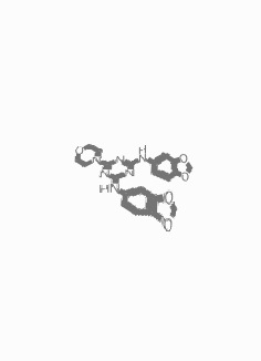 c1cc2c(cc1Nc1nc(Nc3ccc4c(c3)OCO4)nc(N3CCOCC3)n1)OCO2